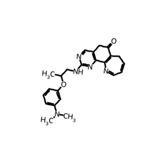 CC(CNc1ncc2c(n1)C1=C(CC=CC=N1)C(=O)C2)Oc1cccc(N(C)C)c1